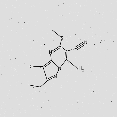 CCc1nn2c(N)c(C#N)c(SC)nc2c1Cl